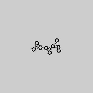 c1ccc(-n2c3ccccc3c3cc(-c4ccc5c(c4)c4ccccc4n5-c4ccc5c(c4)c4c6ccccc6ccc4n5-c4ccccc4)ccc32)cc1